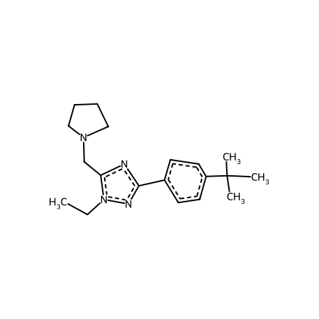 CCn1nc(-c2ccc(C(C)(C)C)cc2)nc1CN1CCCC1